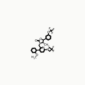 COc1ccccc1-c1ccc(N2CC(F)(F)C2)nc1CN1C(=O)OC(c2cccc(OC(F)(F)F)c2)[C@@H]1C